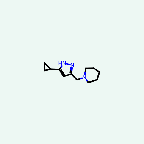 c1c(CN2CCCCC2)n[nH]c1C1CC1